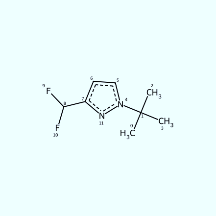 CC(C)(C)n1ccc(C(F)F)n1